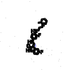 CC1CCCCN1CCCNc1ccc(N/C=C2\C(=O)Nc3ccc(F)cc32)cc1F